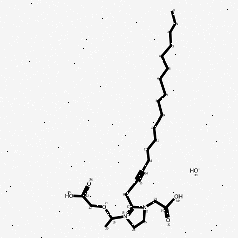 CCCCCCCCCCCCCCC#CCC1=[N+](C(C)OCC(=O)O)CCN1CC(=O)O.[OH-]